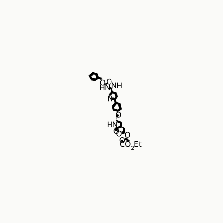 CCOC(=O)OC(C)OC(=O)C[C@@H]1C[C@@H](COc2ccc(-c3ccc(C(=N)NC(=O)OCc4ccccc4)cn3)cc2)NC1=O